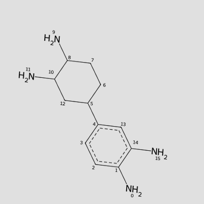 Nc1ccc(C2CCC(N)C(N)C2)cc1N